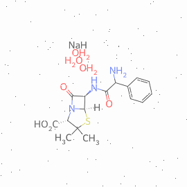 CC1(C)S[C@@H]2[C@H](NC(=O)C(N)c3ccccc3)C(=O)N2[C@H]1C(=O)O.O.O.O.[NaH]